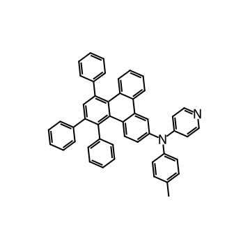 Cc1ccc(N(c2ccncc2)c2ccc3c(c2)c2ccccc2c2c(-c4ccccc4)cc(-c4ccccc4)c(-c4ccccc4)c32)cc1